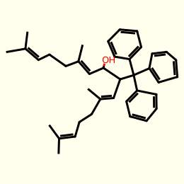 CC(C)=CCC/C(C)=C/C(O)C(/C=C(\C)CCC=C(C)C)C(c1ccccc1)(c1ccccc1)c1ccccc1